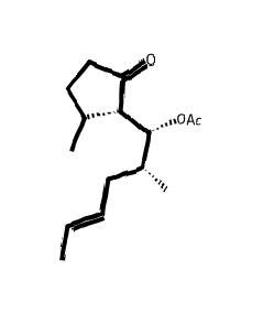 C/C=C/C[C@@H](C)[C@@H](OC(C)=O)[C@H]1C(=O)CCC1C